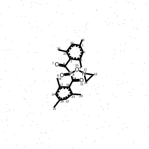 Cc1cc(C)c(C(=O)P(=O)(ON2CC2)C(=O)c2c(C)cc(C)cc2C)c(C)c1